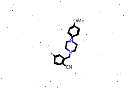 COc1ccc(N2CCN(Cc3cc(F)ccc3C#N)CC2)cc1